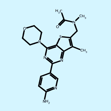 CC(=O)N(C)Cc1sc2c(N3CCOCC3)nc(-c3ccc(N)nc3)nc2c1C